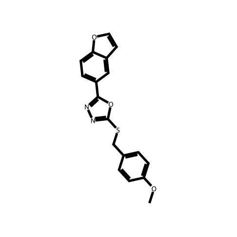 COc1ccc(CSc2nnc(-c3ccc4occc4c3)o2)cc1